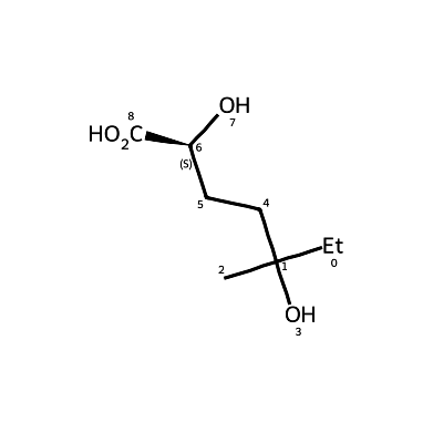 CCC(C)(O)CC[C@H](O)C(=O)O